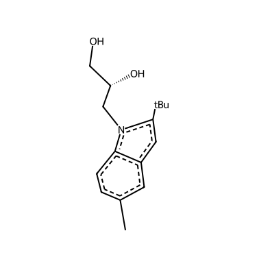 Cc1ccc2c(c1)cc(C(C)(C)C)n2C[C@@H](O)CO